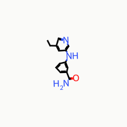 CCc1cncc(Nc2cccc(C(N)=O)c2)c1